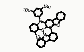 CC(C)(C)c1cc(N2c3cccc(C(C)(C)C)c3B3c4c2cc2c(oc5ccccc52)c4-c2cccc4c5ccccc5n3c24)cc(C(C)(C)C)c1